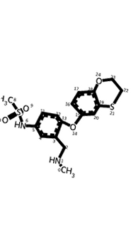 CNCc1cc(NS(C)(=O)=O)ccc1Oc1ccc2c(c1)SCCO2